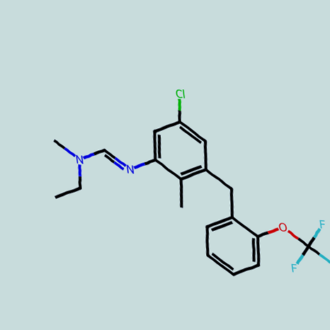 CCN(C)C=Nc1cc(Cl)cc(Cc2ccccc2OC(F)(F)F)c1C